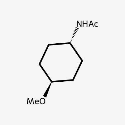 CO[C@H]1CC[C@H](NC(C)=O)CC1